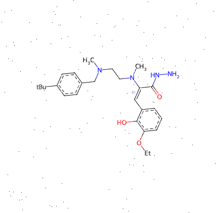 CCOc1cccc(/C=C(\C(=O)NN)N(C)CCN(C)Cc2ccc(C(C)(C)C)cc2)c1O